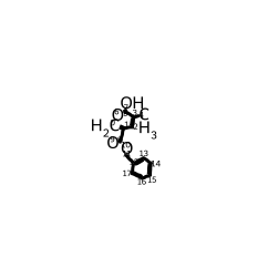 C=C(C=C(C)C(=O)O)C(=O)OCc1ccccc1